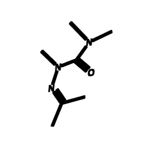 CC(C)=NN(C)C(=O)N(C)C